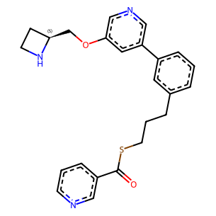 O=C(SCCCc1cccc(-c2cncc(OC[C@@H]3CCN3)c2)c1)c1cccnc1